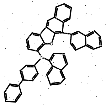 c1ccc(-c2ccc(N(c3cccc4ccccc34)c3cccc4c3oc3c(-c5ccc6ccccc6c5)c5ccccc5cc34)cc2)cc1